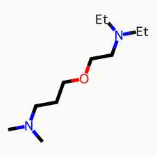 CCN(CC)CCOCCCN(C)C